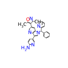 Cc1noc(C)c1-c1cnc2c(-c3ccc(N)nc3)cn(C(c3ccccc3)c3ccccn3)c2c1